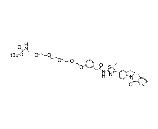 Cc1ccccc1C(=O)N1CCc2cc(-c3nc(NC(=O)Cc4cccc(OCCOCCOCCOCCOCCNC(=O)OC(C)(C)C)c4)sc3C)ccc21